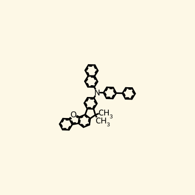 CC1(C)c2cc(N(c3ccc(-c4ccccc4)cc3)c3ccc4ccccc4c3)ccc2-c2c1ccc1c2oc2ccccc21